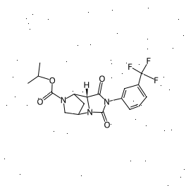 CC(C)OC(=O)N1CC2CC1[C@@H]1C(=O)N(c3cccc(C(F)(F)F)c3)C(=O)N21